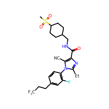 CCc1nc(C(=O)NCC2CCC(S(C)(=O)=O)CC2)c(C#N)n1-c1ccc(CCC(F)(F)F)cc1F